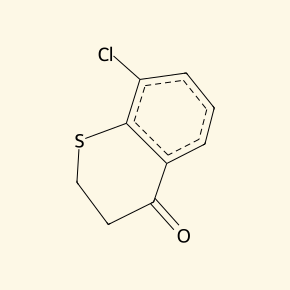 O=C1CCSc2c(Cl)cccc21